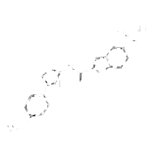 CCCS(=O)(=O)c1ccc2oc(C(=O)Nc3nc(-c4ccc(OC)cc4)cs3)cc2c1